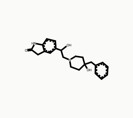 O=C1Cc2cc(C(O)CN3CCC(O)(Cc4ccccc4)CC3)ccc2N1